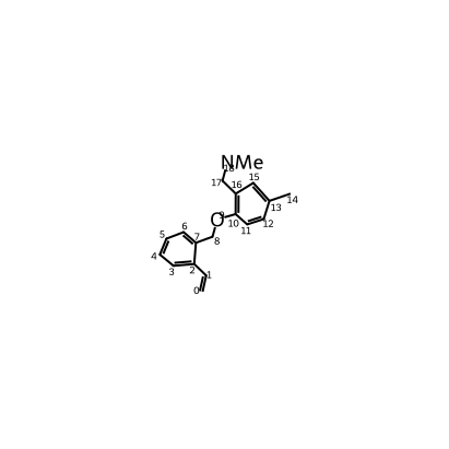 C=Cc1ccccc1COc1ccc(C)cc1CNC